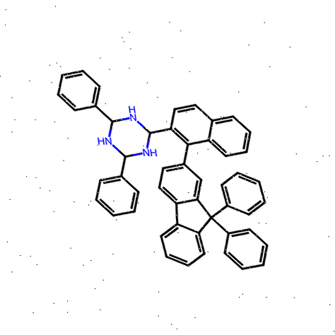 c1ccc(C2NC(c3ccccc3)NC(c3ccc4ccccc4c3-c3ccc4c(c3)C(c3ccccc3)(c3ccccc3)c3ccccc3-4)N2)cc1